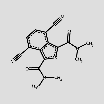 CN(C)C(=O)c1sc(C(=O)N(C)C)c2c(C#N)ccc(C#N)c12